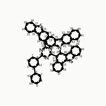 c1ccc(-c2cccc(-c3nc(-c4ccc5sc6ccccc6c5c4)nc(-c4c(-n5c6ccccc6c6cc7ccccc7cc65)c5c6ccccc6sc5c5ccccc45)n3)c2)cc1